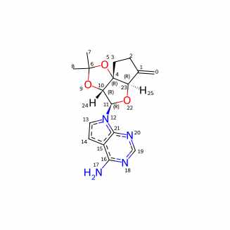 C=C1CC[C@]23OC(C)(C)O[C@H]2[C@H](n2ccc4c(N)ncnc42)O[C@H]13